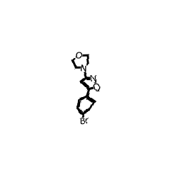 Brc1ccc(-c2cc(N3CCOCC3)no2)cc1